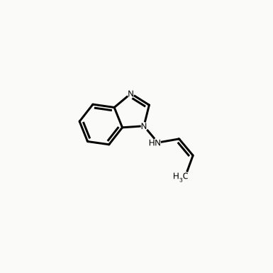 C/C=C\Nn1cnc2ccccc21